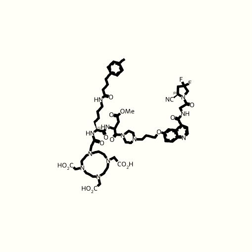 COC(=O)CC(NC(=O)[C@H](CCCCNC(=O)CCCc1ccc(C)cc1)NC(=O)CN1CCN(CC(=O)O)CCN(CC(=O)O)CCN(CC(=O)O)CC1)C(=O)N1CCN(CCCOc2ccc3nccc(C(=O)NCC(=O)N4CC(F)(F)C[C@@H]4C#N)c3c2)CC1